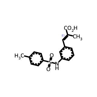 C/C(=C\c1cccc(NS(=O)(=O)c2ccc(C)cc2)c1)C(=O)O